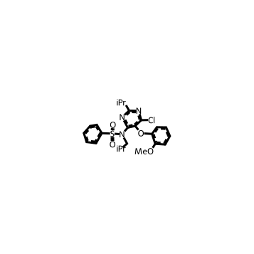 COc1ccccc1Oc1c(Cl)nc(C(C)C)nc1N(CC(C)C)S(=O)(=O)c1ccccc1